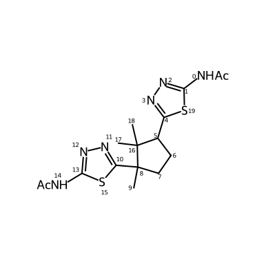 CC(=O)Nc1nnc(C2CCC(C)(c3nnc(NC(C)=O)s3)C2(C)C)s1